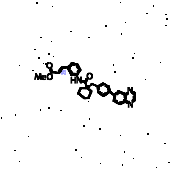 COC(=O)/C=C/c1cccc(NC(=O)C2(Cc3ccc(-c4ccc5nccnc5c4)cc3)CCCCC2)c1